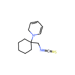 S=C=NCC1(N2C=CC=CC2)CCCCC1